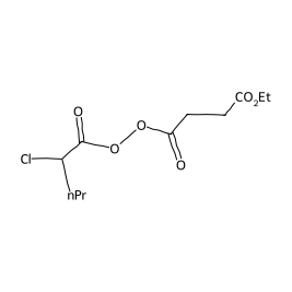 CCCC(Cl)C(=O)OOC(=O)CCC(=O)OCC